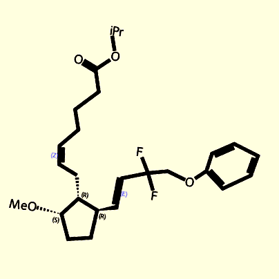 CO[C@H]1CC[C@H](/C=C/C(F)(F)COc2ccccc2)[C@H]1C/C=C\CCCC(=O)OC(C)C